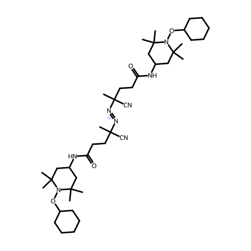 CC(C#N)(CCC(=O)NC1CC(C)(C)N(OC2CCCCC2)C(C)(C)C1)/N=N/C(C)(C#N)CCC(=O)NC1CC(C)(C)N(OC2CCCCC2)C(C)(C)C1